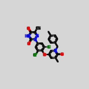 Cc1ccc(Cn2cc(Oc3c(Cl)cc(-n4nc(C#N)c(=O)[nH]c4=O)cc3Cl)cc(C)c2=O)cc1